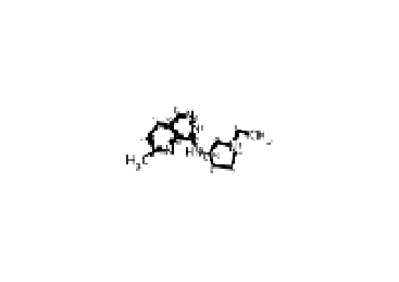 CCN1CCC[C@@H](Nc2nncc3ccc(C)nc23)C1